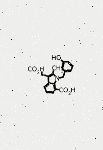 Cc1c(CC(=O)O)c2cccc(C(=O)O)c2n1Cc1cccc(O)c1